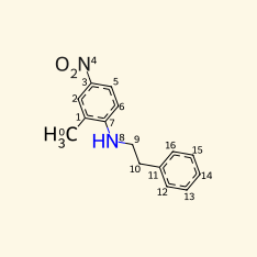 Cc1cc([N+](=O)[O-])ccc1NCCc1ccccc1